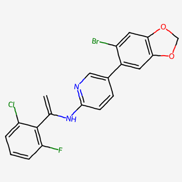 C=C(Nc1ccc(-c2cc3c(cc2Br)OCO3)cn1)c1c(F)cccc1Cl